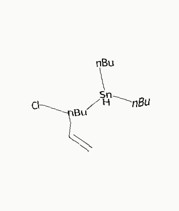 C=CCCl.CCC[CH2][SnH]([CH2]CCC)[CH2]CCC